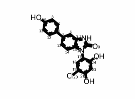 O=c1[nH]c2cc(-c3ccc(O)cc3)ccc2n1-c1cc(Cl)c(O)cc1O